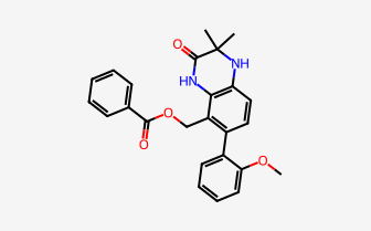 COc1ccccc1-c1ccc2c(c1COC(=O)c1ccccc1)NC(=O)C(C)(C)N2